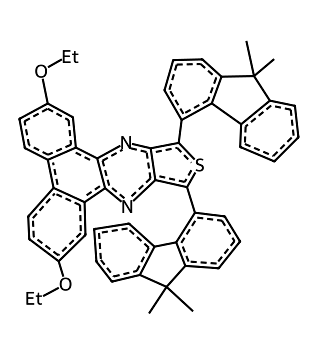 CCOc1ccc2c3ccc(OCC)cc3c3nc4c(-c5cccc6c5-c5ccccc5C6(C)C)sc(-c5cccc6c5-c5ccccc5C6(C)C)c4nc3c2c1